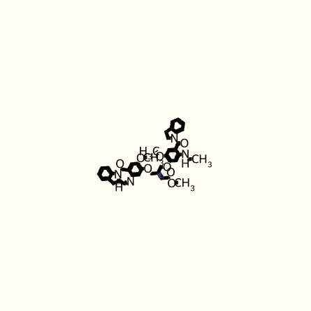 CCNc1cc(OC/C(=C\C(=O)OC)COc2cc3c(cc2OC)C(=O)N2c4ccccc4C[C@H]2C=N3)c(OC)cc1C(=O)N1CCc2ccccc21